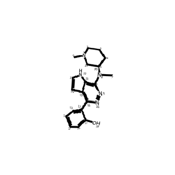 CN1CCC[C@@H](N(C)c2nnc(-c3ccccc3O)c3cc[nH]c23)C1